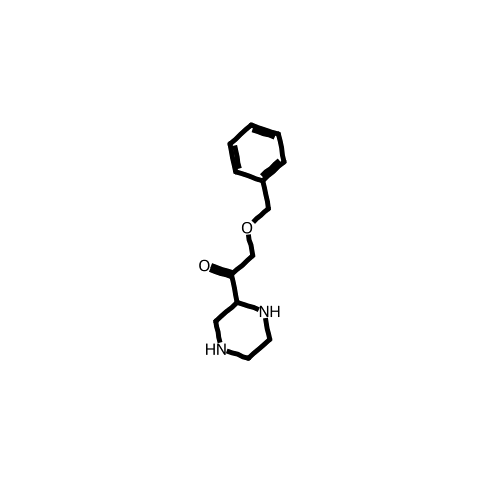 O=C(COCc1ccccc1)C1CNCCN1